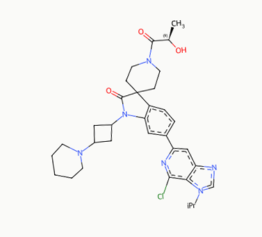 CC(C)n1cnc2cc(-c3ccc4c(c3)N(C3CC(N5CCCCC5)C3)C(=O)C43CCN(C(=O)[C@@H](C)O)CC3)nc(Cl)c21